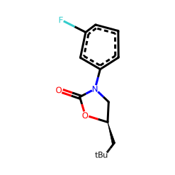 CC(C)(C)C[C@@H]1CN(c2cccc(F)c2)C(=O)O1